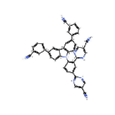 N#Cc1cnc(-c2ccc(-n3c4ccc(-c5cccc(C#N)c5)cc4c4cc(-c5cccc(C#N)c5)ccc43)c(-c3ncc(C#N)cn3)c2)nc1